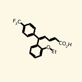 CCOc1ccccc1/C(=C\C=C\C(=O)O)c1ccc(C(F)(F)F)cc1